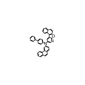 c1ccc(-c2ccc(N(c3ccc4ccc5ccccc5c4c3)c3cnc4oc5ccc6ccccc6c5c4c3)cc2)cc1